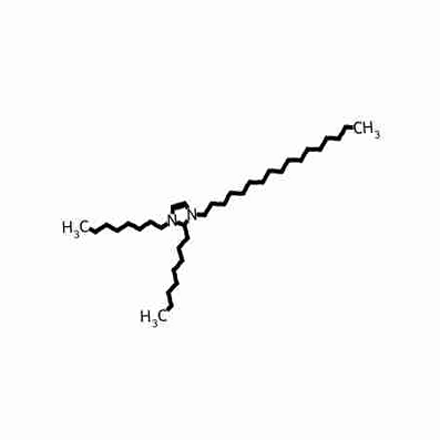 CCCCCCCCCCCCCCCCCN1C=CN(CCCCCCCC)C1CCCCCCCC